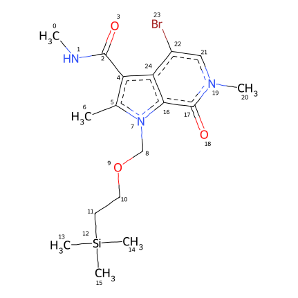 CNC(=O)c1c(C)n(COCC[Si](C)(C)C)c2c(=O)n(C)cc(Br)c12